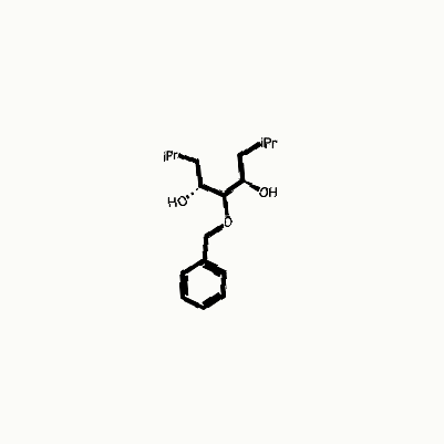 CC(C)C[C@@H](O)C(OCc1ccccc1)[C@H](O)CC(C)C